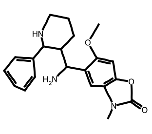 COc1cc2oc(=O)n(C)c2cc1C(N)C1CCCNC1c1ccccc1